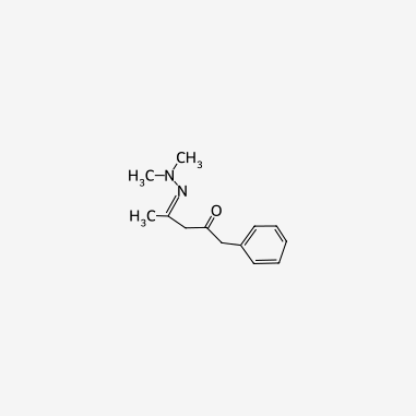 CC(CC(=O)Cc1ccccc1)=NN(C)C